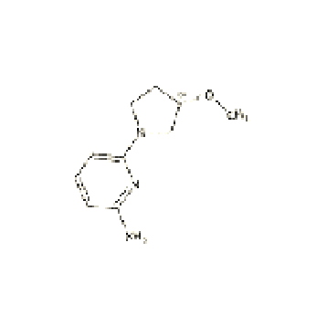 CO[C@H]1CCN(c2cccc(N)n2)C1